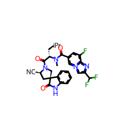 CC(C)C[C@@H](C(=O)N1C[C@]2(C[C@H]1C#N)C(=O)Nc1ccccc12)N(C)C(=O)c1cc(F)c2nc(C(F)F)cn2c1